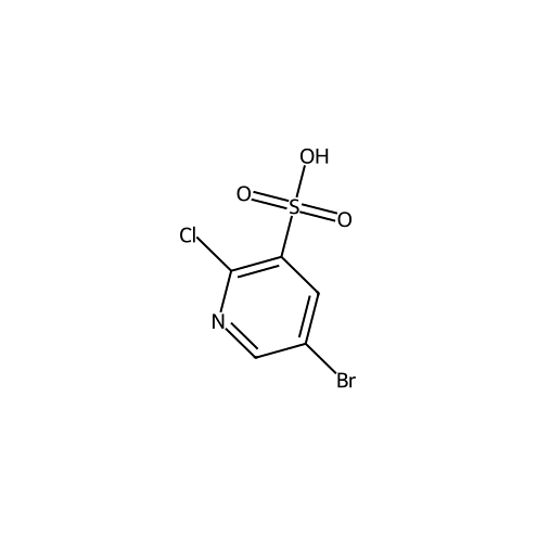 O=S(=O)(O)c1cc(Br)cnc1Cl